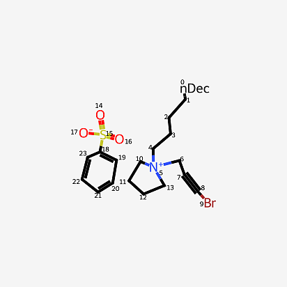 CCCCCCCCCCCCCC[N+]1(CC#CBr)CCCC1.O=S(=O)([O-])c1ccccc1